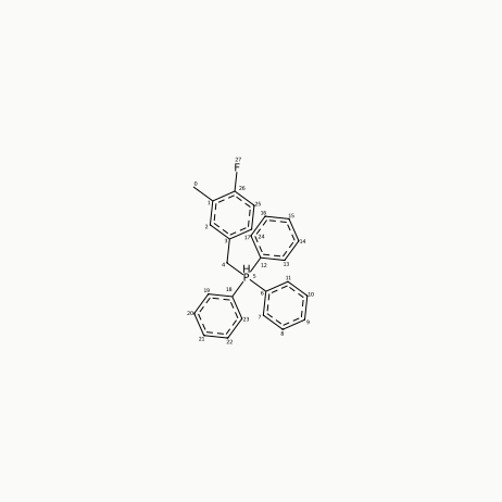 Cc1cc(C[PH](c2ccccc2)(c2ccccc2)c2ccccc2)ccc1F